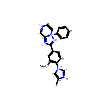 COc1cc(C2=N[N+]3(c4ccccc4)C=CN=CC3=N2)ccc1-n1cnc(C)c1